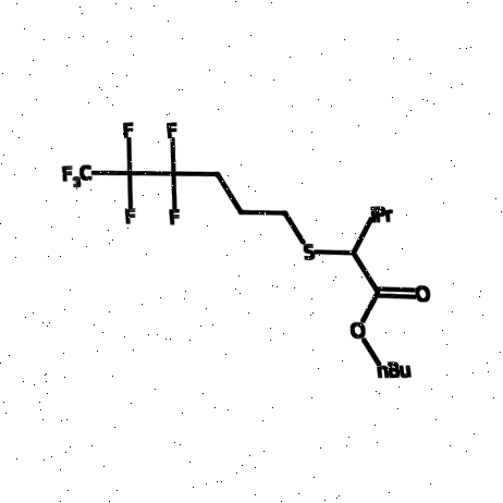 CCCCOC(=O)C(SCCCC(F)(F)C(F)(F)C(F)(F)F)C(C)C